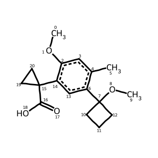 COc1cc(C)c(C2(OC)CCC2)cc1C1(C(=O)O)CC1